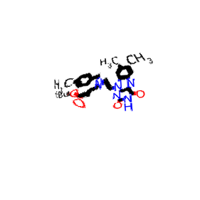 Cc1ccc(CN(CCCC(=O)OC(C)(C)C)CCn2c3nc(=O)[nH]c(=O)c-3nc3cc(C)c(C)cc32)cc1